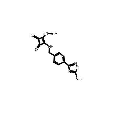 CC(C)Nc1c(NCc2ccc(-c3noc(C(F)(F)F)n3)cc2)c(=O)c1=O